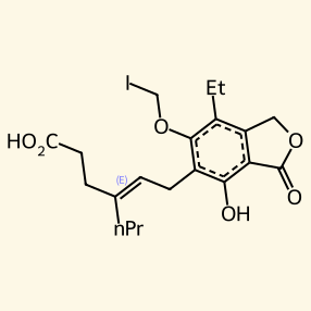 CCC/C(=C\Cc1c(O)c2c(c(CC)c1OCI)COC2=O)CCC(=O)O